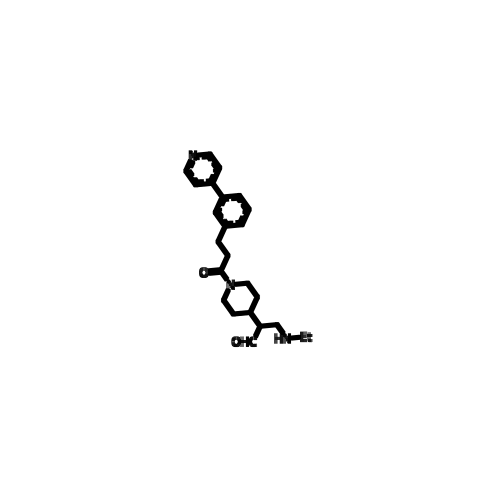 CCNCC(C=O)C1CCN(C(=O)CCc2cccc(-c3ccncc3)c2)CC1